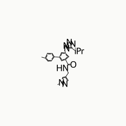 Cc1ccc(-c2cc(C(=O)NCc3cnn(C)c3)cc(-n3nnnc3C(C)C)c2)cc1